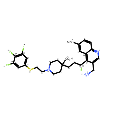 COc1ccc2ncc(CN)c([C@@H](F)CCC3(C(=O)O)CCN(CCSc4cc(F)c(F)c(F)c4)CC3)c2c1